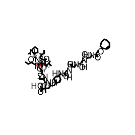 CCCCCON(C(=O)[C@@H](NC(=O)[C@H]1CCCCN1C)[C@@H](C)CC)[C@H](C[C@@H](OC(C)=O)c1nc(C(=O)N[C@@H](Cc2ccc(NC(=O)CNC(=O)CNC(=O)CNC(=O)CNC(=O)COC3C#CCCCCC3)cc2)CC(C)(C)C(=O)O)cs1)C(C)C